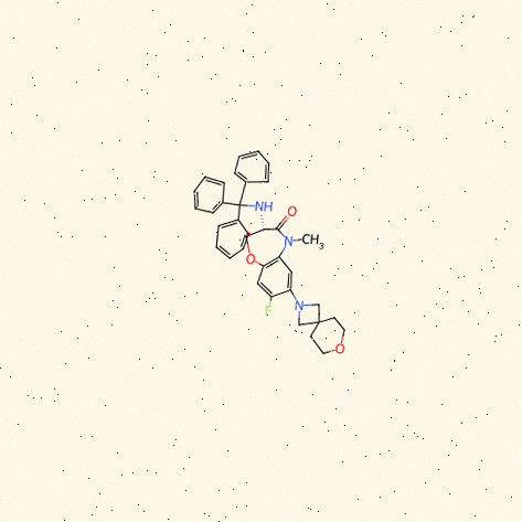 CN1C(=O)[C@@H](NC(c2ccccc2)(c2ccccc2)c2ccccc2)COc2cc(F)c(N3CC4(CCOCC4)C3)cc21